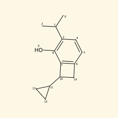 CC(C)c1ccc2c(c1O)C(C1CC1)C2